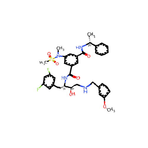 COc1cccc(CNC[C@@H](O)[C@H](Cc2cc(F)cc(F)c2)NC(=O)c2cc(C(=O)N[C@H](C)c3ccccc3)cc(N(C)S(C)(=O)=O)c2)c1